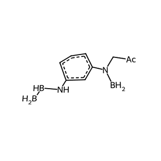 BBNc1cccc(N(B)CC(C)=O)c1